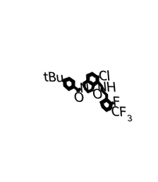 CC(C)(C)c1ccc(C(=O)N2CCc3c(ccc(Cl)c3NC(=O)Cc3cccc(C(F)(F)F)c3F)C2)cc1